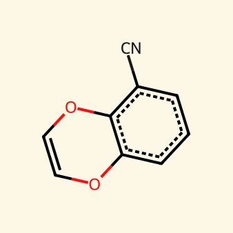 N#Cc1cccc2c1OC=CO2